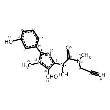 C#CCN(C)C(=O)N(C)c1nc(-c2cccc(O)c2)n(C)c1C=O